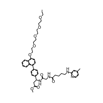 COC(=O)CC(NC(=O)CNC(=O)CCCCNc1cc(C)ccn1)c1ccc(-c2ccc(OCCOCCOCCOCCOCI)c3ccccc23)cc1